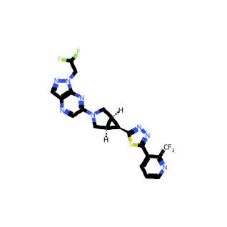 FC(F)Cn1ncc2ncc(N3C[C@@H]4[C@H](C3)[C@@H]4c3nnc(-c4cccnc4C(F)(F)F)s3)nc21